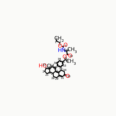 C=CCOC(=O)N[C@@H](C)C(=O)OC(C)c1ccc([C@H]2CC3(C)C(O)CCC3C3CCC4=CC(=O)CCC4=C32)cc1